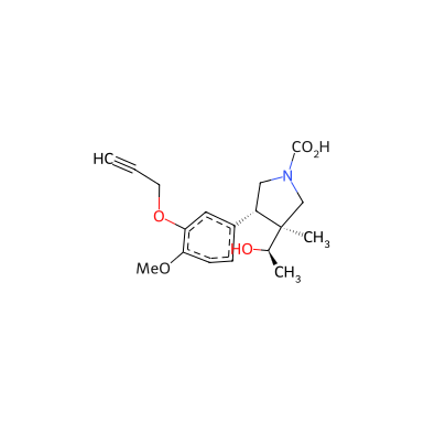 C#CCOc1cc([C@@H]2CN(C(=O)O)C[C@@]2(C)[C@@H](C)O)ccc1OC